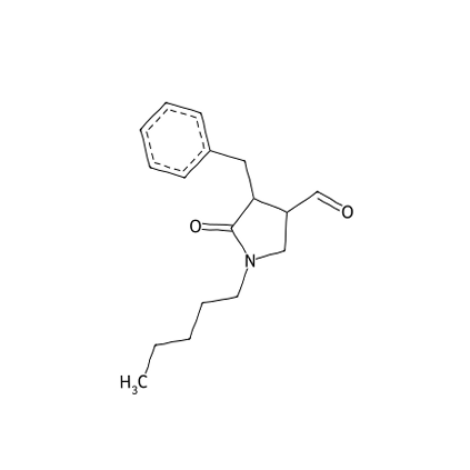 CCCCCN1CC(C=O)C(Cc2ccccc2)C1=O